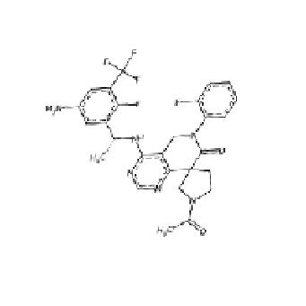 CC(=O)N1CCC2(C1)C(=O)N(c1ccccc1F)Cc1c(N[C@H](C)c3cc(N)cc(C(F)(F)F)c3F)ncnc12